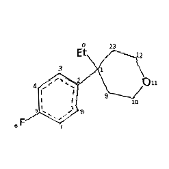 CCC1(c2ccc(F)cc2)CCOCC1